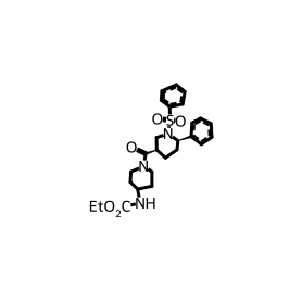 CCOC(=O)NC1CCN(C(=O)[C@@H]2CC[C@H](c3ccccc3)N(S(=O)(=O)c3ccccc3)C2)CC1